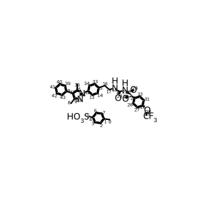 Cc1ccc(S(=O)(=O)O)cc1.Cc1nn(-c2ccc(CCNC(=O)NS(=O)(=O)c3ccc(OC(F)(F)F)cc3)cc2)c(C)c1-c1ccccc1